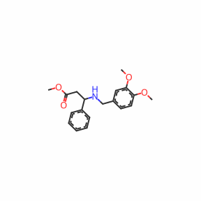 COC(=O)CC(NCc1ccc(OC)c(OC)c1)c1ccccc1